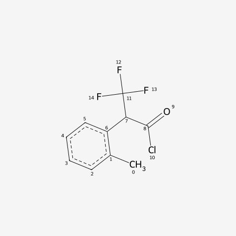 Cc1ccccc1C(C(=O)Cl)C(F)(F)F